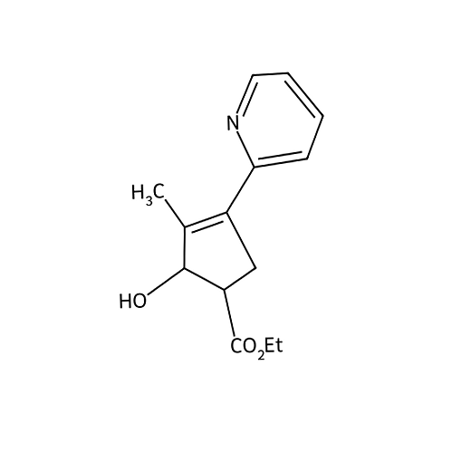 CCOC(=O)C1CC(c2ccccn2)=C(C)C1O